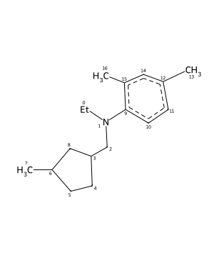 CCN(CC1CCC(C)C1)c1ccc(C)cc1C